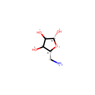 NC[C@H]1O[C@@H](O)C(O)C1O